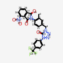 Cc1cc(Cn2nnn(-c3ccc(C(F)(F)F)cc3)c2=O)ccc1N1C(=O)c2cccc([N+](=O)[O-])c2C1=O